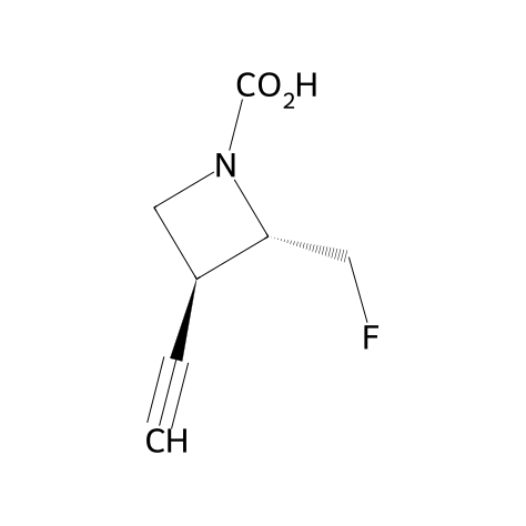 C#C[C@H]1CN(C(=O)O)[C@@H]1CF